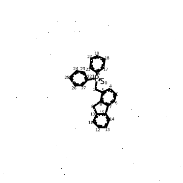 S=P(Cc1cccc2c1Cc1ccccc1-2)(c1ccccc1)c1ccccc1